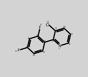 Fc1[c]c(F)c(-c2ncccc2Cl)cc1